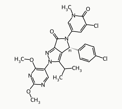 COc1ncc(-n2nc3c(c2C(C)C)[C@@H](c2ccc(Cl)cc2)N(c2cc(Cl)c(=O)n(C)c2)C3=O)c(OC)n1